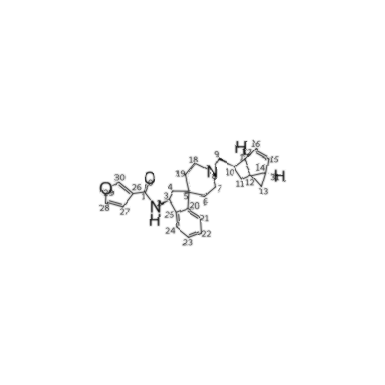 O=C(N[C@H]1CC2(CCN(C[C@@H]3CC45C[C@@H]4C=C[C@H]35)CC2)c2ccccc21)c1ccoc1